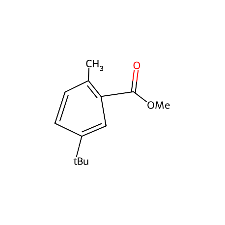 COC(=O)c1cc(C(C)(C)C)ccc1C